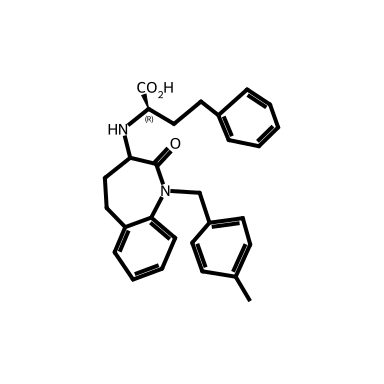 Cc1ccc(CN2C(=O)C(N[C@H](CCc3ccccc3)C(=O)O)CCc3ccccc32)cc1